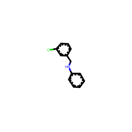 Clc1cccc(CNc2cc[c]cc2)c1